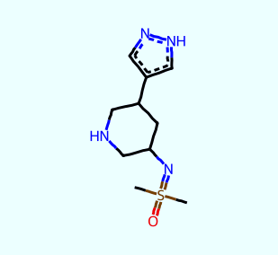 CS(C)(=O)=NC1CNCC(c2cn[nH]c2)C1